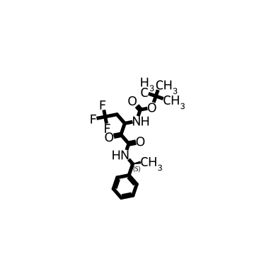 C[C@H](NC(=O)C(=O)C(CC(F)(F)F)NC(=O)OC(C)(C)C)c1ccccc1